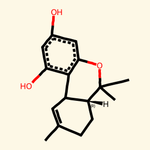 CC1=CC2c3c(O)cc(O)cc3OC(C)(C)[C@@H]2CC1